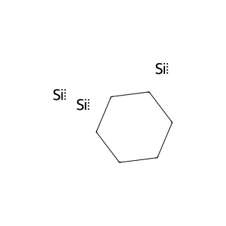 C1CCCCC1.[Si].[Si].[Si]